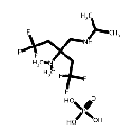 CC(C)NCC(CC(F)(F)F)(CC(F)(F)F)N(C)C.O=P(O)(O)O